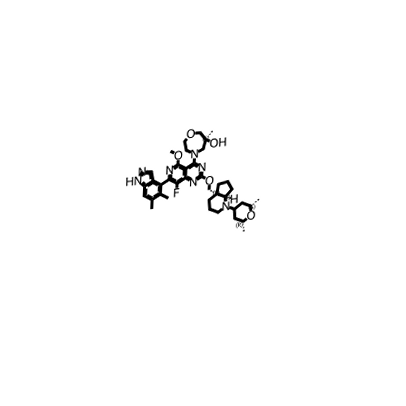 COc1nc(-c2c(C)c(C)cc3[nH]ncc23)c(F)c2nc(OC[C@]34CCC[C@H]3N(C3C[C@@H](C)O[C@@H](C)C3)CCC4)nc(N3CCOC[C@@](C)(O)C3)c12